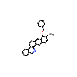 COc1ccc2cc3c(ccc4c5ccccc5cnc34)cc2c1OCc1ccccc1